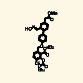 COC(=O)Cc1ccc(-c2ccc(OCc3ccc(C(F)(F)F)c(OC(=O)OC(C)(C)C)c3C(=O)OC(C)(C)C)cc2)c(C=NO)c1